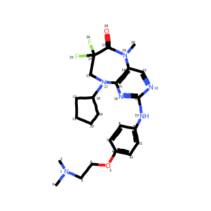 CN(C)CCOc1ccc(Nc2ncc3c(n2)N(C2CCCC2)CC(F)(F)C(=O)N3C)cc1